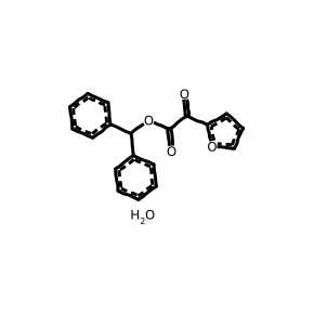 O.O=C(OC(c1ccccc1)c1ccccc1)C(=O)c1ccco1